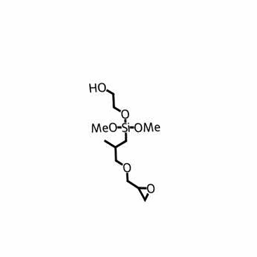 CO[Si](CC(C)COCC1CO1)(OC)OCCO